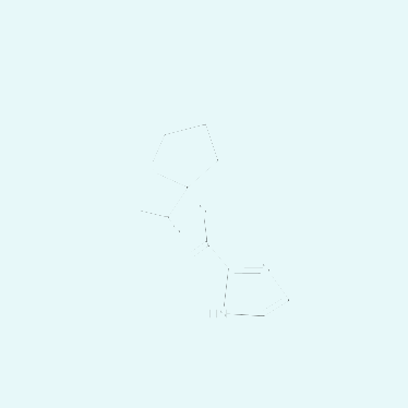 NC(O)[C@@]1(NC(=O)c2ncc[nH]2)OC[C@H](O)[C@@H]1O